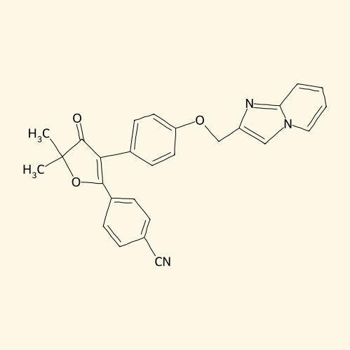 CC1(C)OC(c2ccc(C#N)cc2)=C(c2ccc(OCc3cn4ccccc4n3)cc2)C1=O